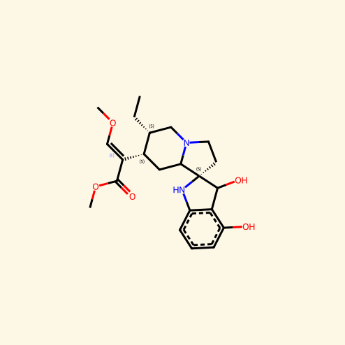 CC[C@@H]1CN2CC[C@]3(Nc4cccc(O)c4C3O)C2C[C@@H]1/C(=C\OC)C(=O)OC